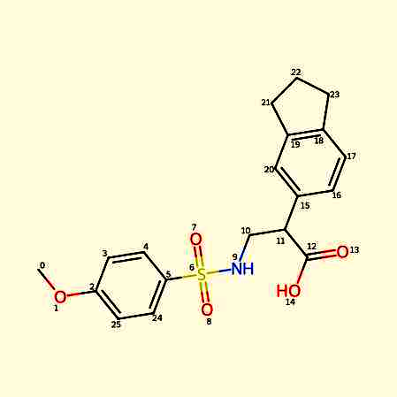 COc1ccc(S(=O)(=O)NCC(C(=O)O)c2ccc3c(c2)CCC3)cc1